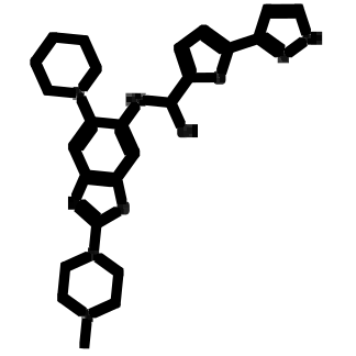 CN1CCN(c2nc3cc(N4CCCCC4)c(NC(O)c4ccc(-c5cc[nH]n5)o4)cc3o2)CC1